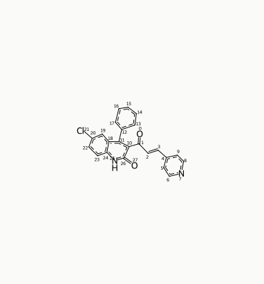 O=C(C=Cc1ccncc1)c1c(-c2ccccc2)c2cc(Cl)ccc2[nH]c1=O